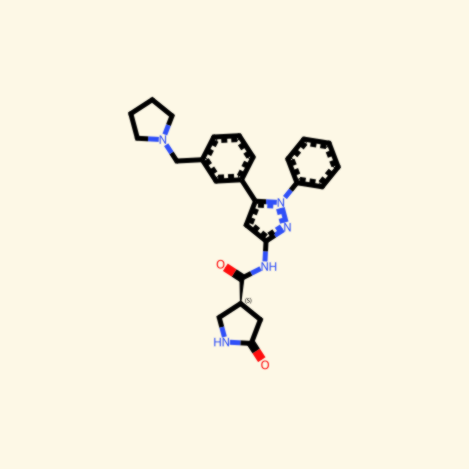 O=C1C[C@H](C(=O)Nc2cc(-c3cccc(CN4CCCC4)c3)n(-c3ccccc3)n2)CN1